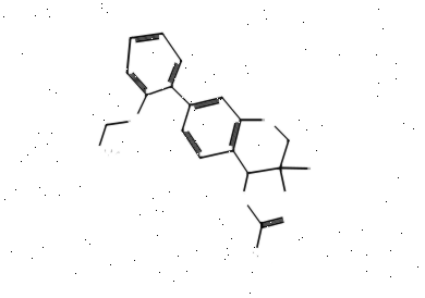 COCOc1ccccc1-c1ccc2c(c1)OCC(C)(C)C2OC(N)=O